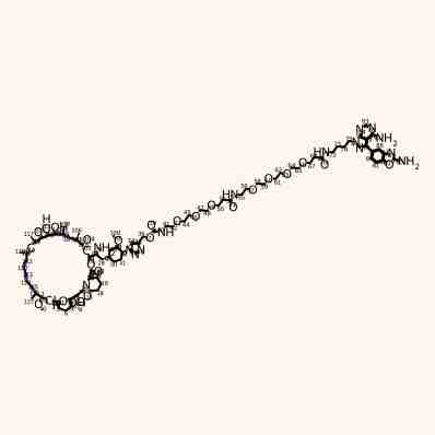 CO[C@H]1C[C@@H]2CC[C@@H](C)[C@@](O)(O2)C(=O)C(=O)N2CCCC[C@H]2C(=O)O[C@H]([C@H](N)C[C@@H]2CC[C@H](n3cc(COC(=O)NCCOCCOCCOCCC(=O)NCCOCCOCCOCCOCCC(=O)NCCCCn4nc(-c5ccc6oc(N)nc6c5)c5c(N)ncnc54)nn3)[C@H](OC)C2)CC(=O)[C@H](C)/C=C(\C)[C@@H](O)[C@@H](O)C(=O)[C@H](C)C[C@H](C)/C=C/C=C/C=C/1C